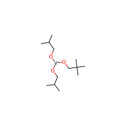 CC(C)C[O][V]([O]CC(C)C)[O]CC(C)(C)C